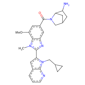 COc1cc(C(=O)N2CC3CC(N)C2C3)cc2nc(-c3cc4cccnc4n3CC3CC3)n(C)c12